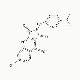 CC(C)c1ccc(NN2C(=O)c3[nH]c4cc(Cl)ccc4c(=O)c3C2=O)cc1